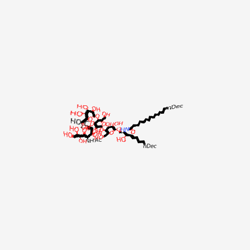 CCCCCCCCCCCCC/C=C/[C@@H](O)[C@H](CO[C@@H]1OC(CO)[C@@H](O[C@@H]2OC(CO)[C@H](O[C@@H]3OC(CO)[C@H](O)[C@H](O)C3O)[C@H](O[C@]3(C(=O)O)CC(O)[C@@H](NC(C)=O)C([C@H](O)[C@H](O)CO)O3)C2O)[C@H](O)C1O)NC(=O)CCCCCCCCCCCCCCCCCCCCCCC